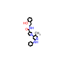 Cc1cnc(Nc2ccccc2)cc1-n1ccc(C(=O)NCCc2ccccc2O)c1